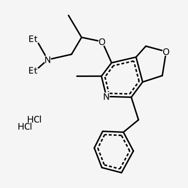 CCN(CC)CC(C)Oc1c(C)nc(Cc2ccccc2)c2c1COC2.Cl.Cl